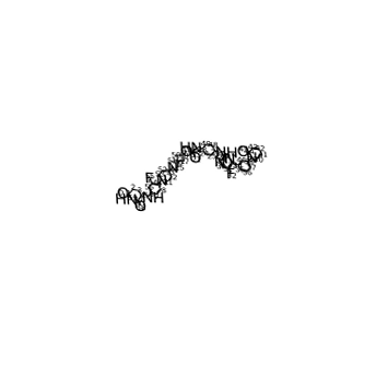 O=C1CCC(Nc2ccc(N3CCC(N4CC5(CC(OC(=O)N[C@H]6CC[C@H](Nc7ncc(F)c(-c8cccc(-n9ccccc9=O)c8)n7)CC6)C5)C4)CC3)c(F)c2)C(=O)N1